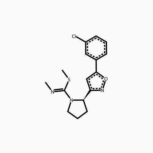 CN=C(SC)N1CCC[C@@H]1c1cc(-c2cccc(Cl)c2)on1